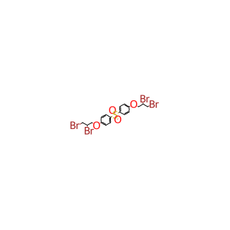 O=S(=O)(c1ccc(OCC(Br)CBr)cc1)c1ccc(OCC(Br)CBr)cc1